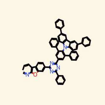 C=Nc1oc2cc(-c3nc(-c4ccccc4)nc(-c4cc(-c5ccccc5)c(-n5c6ccc(-c7ccccc7)cc6c6cc(-c7ccccc7)ccc65)c(-c5ccccc5)c4)n3)ccc2c1/C=C\C